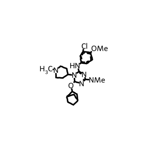 CNC1=NC(OC2CC3CCC2C3)N(C2CCN(C)CC2)C(Nc2ccc(OC)c(Cl)c2)=N1